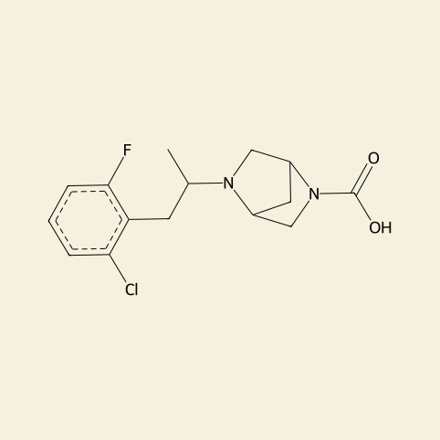 CC(Cc1c(F)cccc1Cl)N1CC2CC1CN2C(=O)O